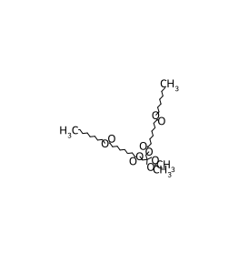 CCCCCCCCOC(=O)CCCCCCC(=O)OCC1(COC(=O)CCCCCCC(=O)OCCCCCCCC)COC(C)(C)OC1